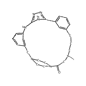 CN1CCCc2cccc(c2)-c2nnc([nH]2)Nc2cccc(c2)CN2CCN(CC2)C(=O)C1